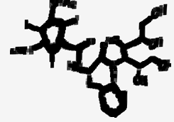 CC(=O)Nc1c(I)c(NC(C)=O)c(I)c(C(=O)N[C@@H](Cc2ccccc2)C(=O)N[C@@H]([C@@H](O)[C@H](O)CO)[C@@H](O)CO)c1I